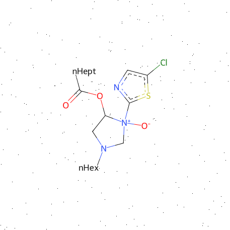 CCCCCCCC(=O)OC1CN(CCCCCC)C[N+]1([O-])c1ncc(Cl)s1